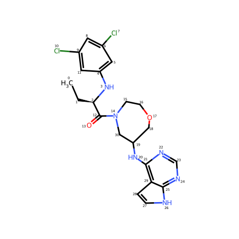 CC[C@@H](Nc1cc(Cl)cc(Cl)c1)C(=O)N1CCOCC(Nc2ncnc3[nH]ccc23)C1